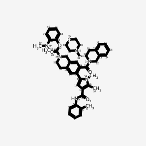 Cc1ccccc1NC(=O)c1cc(-c2cc3c(cc2C(=O)N2Cc4ccccc4C[C@H]2CN2CCOCC2)CN(C(=O)Oc2ccccc2N(C)C)CC3)n(C)c1C